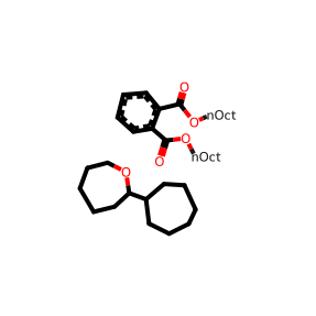 C1CCCC(C2CCCCCO2)CC1.CCCCCCCCOC(=O)c1ccccc1C(=O)OCCCCCCCC